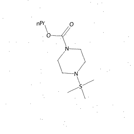 CCCOC(=O)N1CCN(S(C)(C)C)CC1